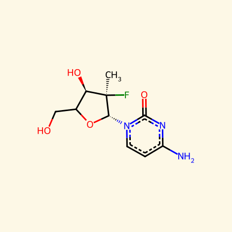 C[C@@]1(F)[C@H](O)C(CO)O[C@H]1n1ccc(N)nc1=O